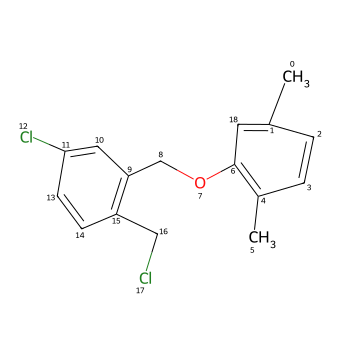 Cc1ccc(C)c(OCc2cc(Cl)ccc2CCl)c1